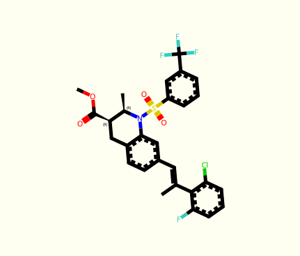 COC(=O)[C@@H]1Cc2ccc(C=C(C)c3c(F)cccc3Cl)cc2N(S(=O)(=O)c2cccc(C(F)(F)F)c2)[C@@H]1C